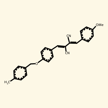 COc1ccc(/C=C(C#N)/C(C#N)=C/c2ccc(OCc3ccc(C)cc3)cc2)cc1